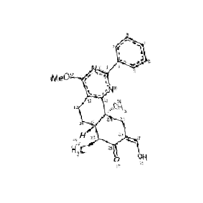 COc1nc(-c2ccccc2)nc2c1CC[C@H]1[C@H](C)C(=O)/C(=C\O)C[C@]21C